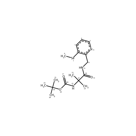 C[Se]c1cccnc1CNC(=O)C(C)(C)NC(=O)OC(C)(C)C